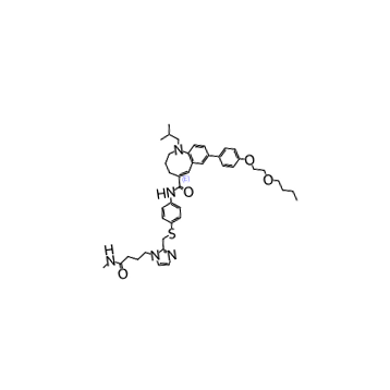 CCCCOCCOc1ccc(-c2ccc3c(c2)/C=C(/C(=O)Nc2ccc(SCc4nccn4CCCC(=O)NC)cc2)CCCN3CC(C)C)cc1